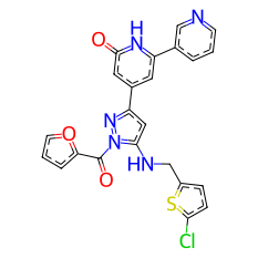 O=C(c1ccco1)n1nc(-c2cc(-c3cccnc3)[nH]c(=O)c2)cc1NCc1ccc(Cl)s1